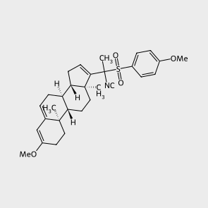 [C-]#[N+]C(C)(C1=CC[C@H]2[C@@H]3CC=C4C=C(OC)CC[C@]4(C)[C@H]3CC[C@]12C)S(=O)(=O)c1ccc(OC)cc1